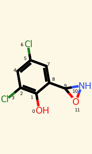 Oc1c(Cl)cc(Cl)cc1C1NO1